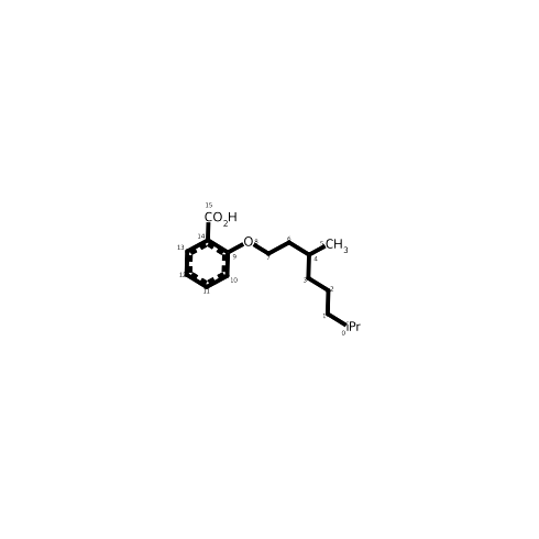 CC(C)CCCC(C)CCOc1ccccc1C(=O)O